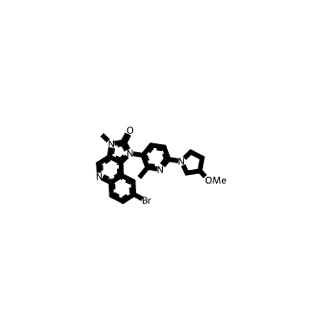 COC1CCN(c2ccc(-n3c(=O)n(C)c4cnc5ccc(Br)cc5c43)c(C)n2)C1